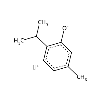 Cc1ccc(C(C)C)c([O-])c1.[Li+]